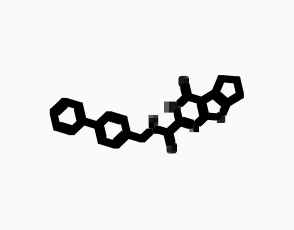 O=C(NCc1ccc(-c2ccccc2)cc1)c1nc2sc3c(c2c(=O)[nH]1)CCC3